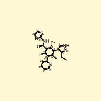 CCc1n[nH]cc1-c1c(F)c(C(=O)Nc2nccs2)c(F)c(-c2ccccn2)c1F